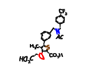 CC(=O)N(Cc1ccc(C(F)(F)F)cc1)Cc1cccc(-c2sc(C(=O)O)c(OCC(=O)O)c2C)c1